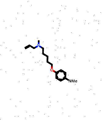 C=CCN(C)CCCCCOc1ccc(NC)cc1